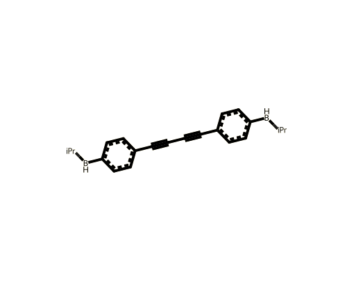 CC(C)Bc1ccc(C#CC#Cc2ccc(BC(C)C)cc2)cc1